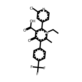 CCn1c(C)c(-c2ccc(C(F)(F)F)cc2)c(=O)c(C(=O)O)c1-c1ccnc(Cl)c1